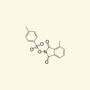 Cc1ccc(S(=O)(=O)ON2C(=O)c3cccc(C)c3C2=O)cc1